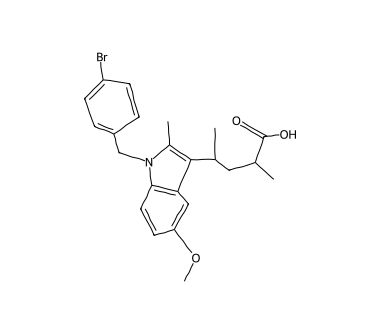 COc1ccc2c(c1)c(C(C)CC(C)C(=O)O)c(C)n2Cc1ccc(Br)cc1